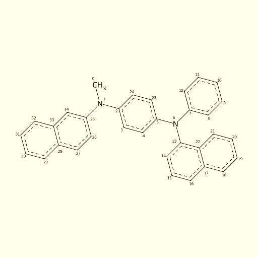 CN(c1ccc(N(c2ccccc2)c2cccc3ccccc23)cc1)c1ccc2ccccc2c1